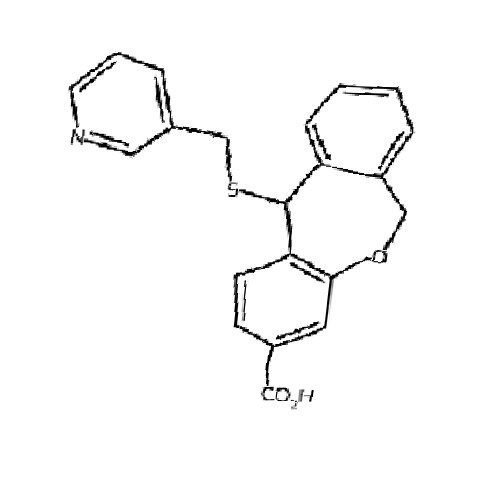 O=C(O)c1ccc2c(c1)OCc1ccccc1C2SCc1cccnc1